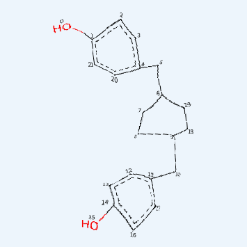 Oc1ccc(CC2CCC(Cc3ccc(O)cc3)CC2)cc1